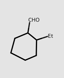 CCC1CCCCC1C=O